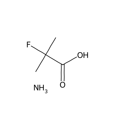 CC(C)(F)C(=O)O.N